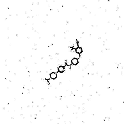 N#Cc1ccc(OC2CCC(NC(=O)c3cnc(N4CCN(C(=O)O)CC4)cn3)CC2)cc1C(F)(F)F